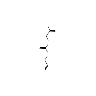 O=CCSC(=S)SCC(=O)O